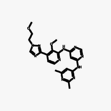 COCCn1cnc(-c2ccnc(Nc3cc(Nc4cc(C)nc(C)n4)ncn3)c2OC)n1